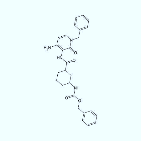 Nc1ccn(Cc2ccccc2)c(=O)c1NC(=O)C1CCCC(NC(=O)OCc2ccccc2)C1